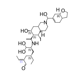 C=C(N[C@@H](C[C@@H](CC)C/C(C=O)=C\C)C(O)O)[C@@H]1C(I)[C@@H]2CCN(C(O)C3=CCC4CCO[C@@H]4C3)CC2C[C@@H]1O